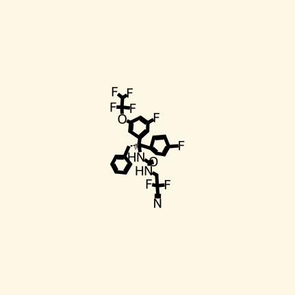 N#CC(F)(F)CNC(=O)N[C@](Cc1ccccc1)(c1ccc(F)cc1)c1cc(F)cc(OC(F)(F)C(F)F)c1